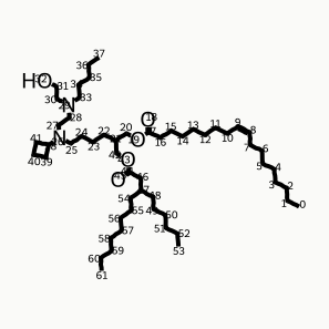 CCCCCCCC/C=C\CCCCCCCC(=O)OCC(CCCCN(CCN(CCO)CCCCC)C1CCC1)COC(=O)CC(CCCCCC)CCCCCCCC